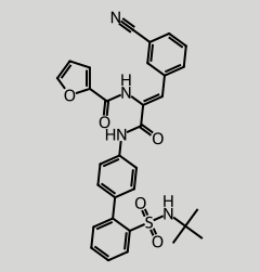 CC(C)(C)NS(=O)(=O)c1ccccc1-c1ccc(NC(=O)C(=Cc2cccc(C#N)c2)NC(=O)c2ccco2)cc1